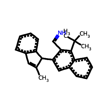 CC1=Cc2ccccc2C1c1cc2ccccc2c(C(C)(C)C)c1C=N